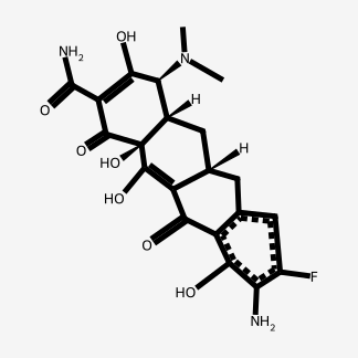 CN(C)[C@@H]1C(O)=C(C(N)=O)C(=O)[C@@]2(O)C(O)=C3C(=O)c4c(cc(F)c(N)c4O)C[C@H]3C[C@@H]12